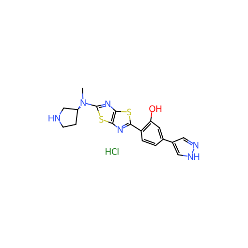 CN(c1nc2sc(-c3ccc(-c4cn[nH]c4)cc3O)nc2s1)[C@H]1CCNC1.Cl